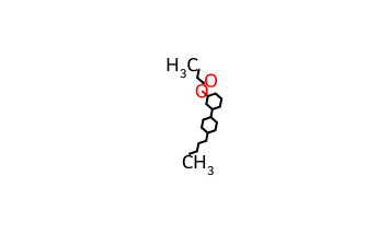 CCCCCC1CCC(C2CCCC(OC(=O)CCC)C2)CC1